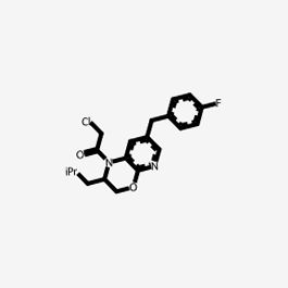 CC(C)CC1COc2ncc(Cc3ccc(F)cc3)cc2N1C(=O)CCl